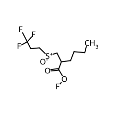 CCCCC(C[S+]([O-])CCC(F)(F)F)C(=O)OF